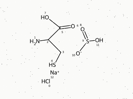 Cl.NC(CS)C(=O)O.O=S([O-])O.[Na+]